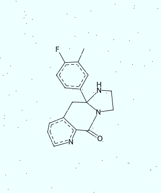 Cc1cc(C23Cc4cccnc4C(=O)N2CCN3)ccc1F